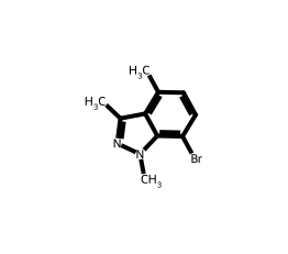 Cc1ccc(Br)c2c1c(C)nn2C